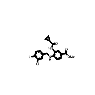 COC(=O)c1ccc(NCc2ccc(Cl)c(Cl)c2)c(NC(=O)C2CC2)c1